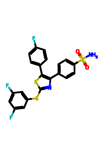 NS(=O)(=O)c1ccc(-c2nc(Sc3cc(F)cc(F)c3)sc2-c2ccc(F)cc2)cc1